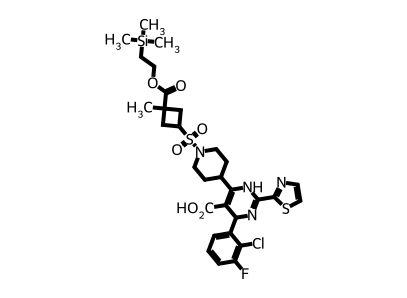 CC1(C(=O)OCC[Si](C)(C)C)CC(S(=O)(=O)N2CCC(C3=C(C(=O)O)C(c4cccc(F)c4Cl)N=C(c4nccs4)N3)CC2)C1